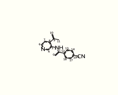 C=C(Nc1cnccc1C(=C)C)c1ccc(C#N)cc1